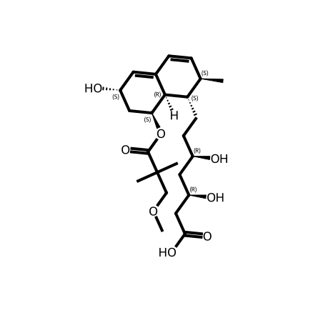 COCC(C)(C)C(=O)O[C@H]1C[C@H](O)C=C2C=C[C@@H](C)[C@H](CC[C@@H](O)C[C@@H](O)CC(=O)O)[C@H]21